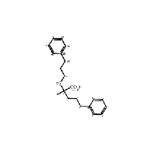 CC(CCCc1ccccc1)(SCCCc1ccccc1)C(=O)O